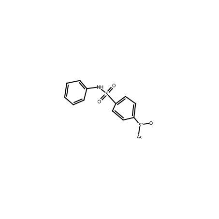 CC(=O)[S+]([O-])c1ccc(S(=O)(=O)Nc2ccccc2)cc1